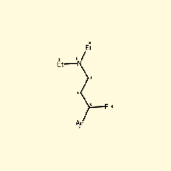 CCN(CC)CCC(F)C(C)=O